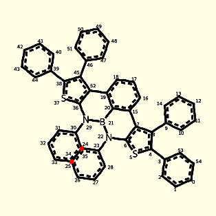 c1ccc(-c2sc3c(c2-c2ccccc2)-c2cccc4c2B(N3c2ccccc2)N(c2ccccc2)c2sc(-c3ccccc3)c(-c3ccccc3)c2-4)cc1